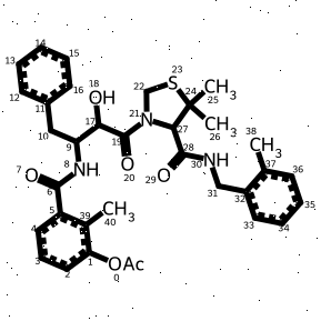 CC(=O)Oc1cccc(C(=O)NC(Cc2ccccc2)C(O)C(=O)N2CSC(C)(C)C2C(=O)NCc2ccccc2C)c1C